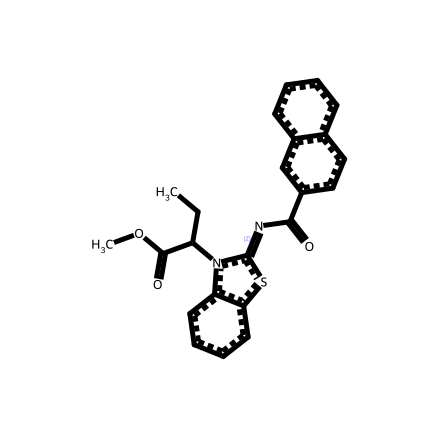 CCC(C(=O)OC)n1/c(=N/C(=O)c2ccc3ccccc3c2)sc2ccccc21